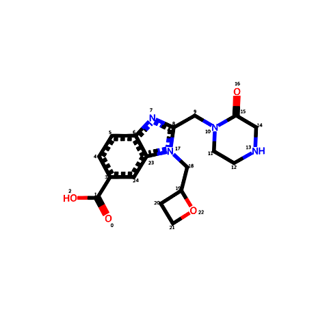 O=C(O)c1ccc2nc(CN3CCNCC3=O)n(CC3CCO3)c2c1